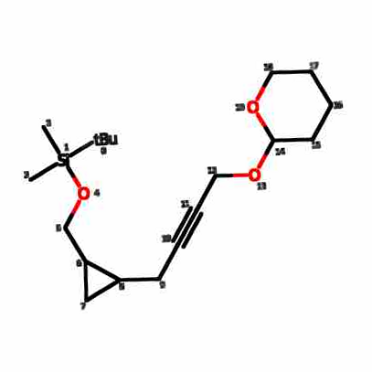 CC(C)(C)[Si](C)(C)OCC1CC1CC#CCOC1CCCCO1